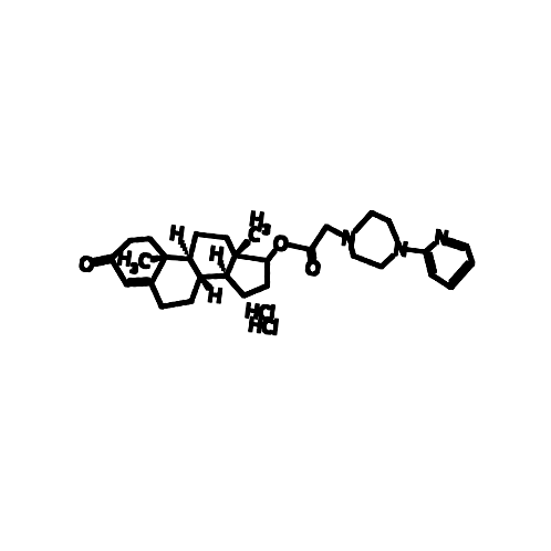 C[C@]12CCC(=O)C=C1CC[C@@H]1[C@@H]2CC[C@]2(C)C(OC(=O)CN3CCN(c4ccccn4)CC3)CC[C@@H]12.Cl.Cl